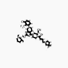 CC1CCCN(C)[C@@H]1COc1nc2c(c(N3CCN(C(=O)/C=C/CN4CCC(F)(F)C4)[C@@H](CC#N)C3)n1)CCN(c1cccc(Cl)c1C(F)(F)F)C2